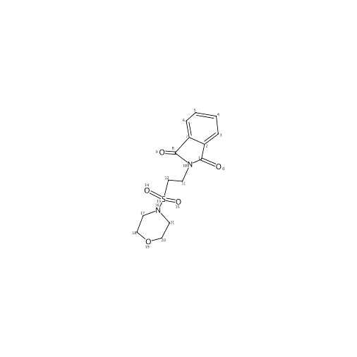 O=C1c2ccccc2C(=O)N1CCS(=O)(=O)N1CCOCC1